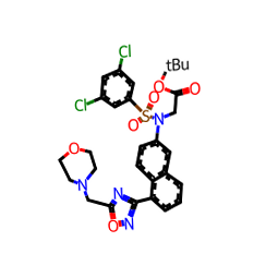 CC(C)(C)OC(=O)CN(c1ccc2c(-c3noc(CN4CCOCC4)n3)cccc2c1)S(=O)(=O)c1cc(Cl)cc(Cl)c1